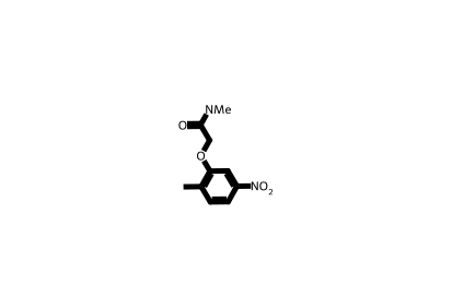 CNC(=O)COc1cc([N+](=O)[O-])ccc1C